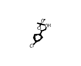 COC(C)(C)OC(CO)c1ccc(Cl)cc1